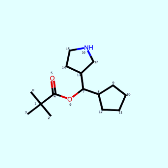 CC(C)(C)C(=O)OC(C1CCCC1)C1CCNC1